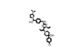 C=Cn1nc(Nc2ccc(C(O)N3CC[C@H](N(C)C)C3)cc2)nc1/C(=C\C)N1CCC(O)(c2ccc(Cl)cc2)CC1